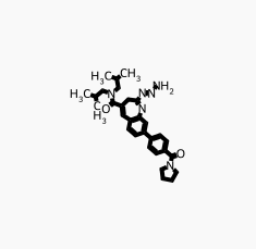 CC(C)CN(CC(C)C)C(=O)C1=Cc2ccc(-c3ccc(C(=O)N4CCCC4)cc3)cc2N=C(N=NN)C1